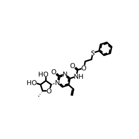 C=Cc1cn([C@@H]2O[C@H](C)C(O)C2O)c(=O)nc1NC(=O)OCCSc1ccccc1